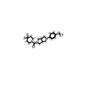 CCOc1ccc(N2CC3CN(C(=O)N4CCC(F)(F)CC4)CC3C2)cc1